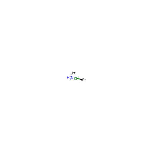 N.[Cl][Pt].[Pt]